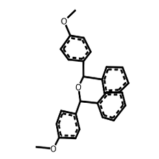 COc1ccc(C(OC(c2ccccc2)c2ccc(OC)cc2)c2ccccc2)cc1